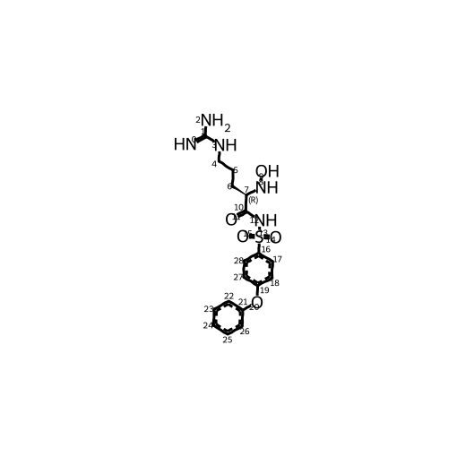 N=C(N)NCCC[C@@H](NO)C(=O)NS(=O)(=O)c1ccc(Oc2ccccc2)cc1